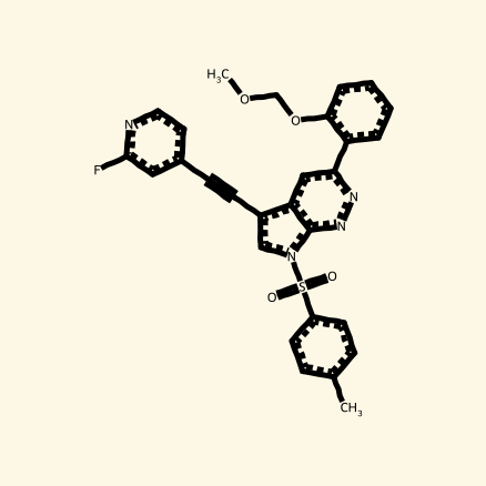 COCOc1ccccc1-c1cc2c(C#Cc3ccnc(F)c3)cn(S(=O)(=O)c3ccc(C)cc3)c2nn1